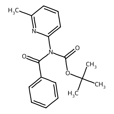 Cc1cccc(N(C(=O)OC(C)(C)C)C(=O)c2ccccc2)n1